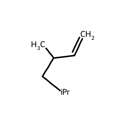 C=CC(C)CC(C)C